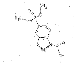 COP(=O)(OC)c1ccc2c(cnn2C(C)=O)c1